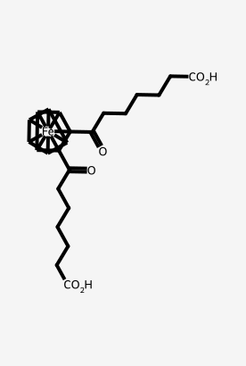 O=C(O)CCCCCC(=O)[C]12[CH]3[CH]4[CH]5[C]1(C(=O)CCCCCC(=O)O)[Fe]43521678[CH]2[CH]1[CH]6[CH]7[CH]28